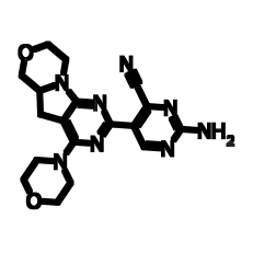 N#Cc1nc(N)ncc1-c1nc(N2CCOCC2)c2c(n1)N1CCOCC1C2